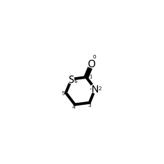 O=C1[N]CCCS1